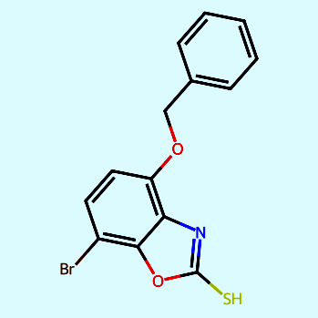 Sc1nc2c(OCc3ccccc3)ccc(Br)c2o1